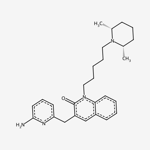 C[C@@H]1CCC[C@H](C)N1CCCCCn1c(=O)c(Cc2cccc(N)n2)cc2ccccc21